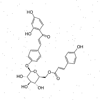 O=C(/C=C/c1ccc(O)cc1)OC[C@@H]1O[C@H](Oc2ccc(/C=C/C(=O)c3ccc(O)cc3O)cc2)[C@@H](O)[C@H](O)[C@H]1O